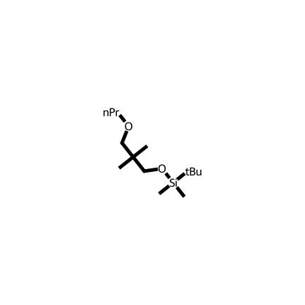 CCCOCC(C)(C)CO[Si](C)(C)C(C)(C)C